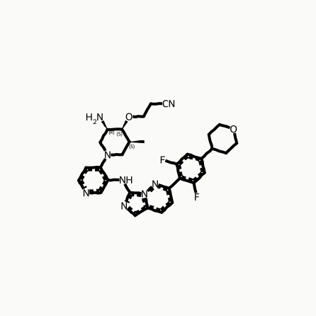 C[C@H]1CN(c2ccncc2Nc2ncc3ccc(-c4c(F)cc(C5CCOCC5)cc4F)nn23)C[C@@H](N)[C@H]1OCCC#N